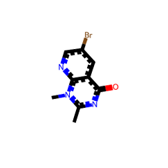 Cc1nc(=O)c2cc(Br)cnc2n1C